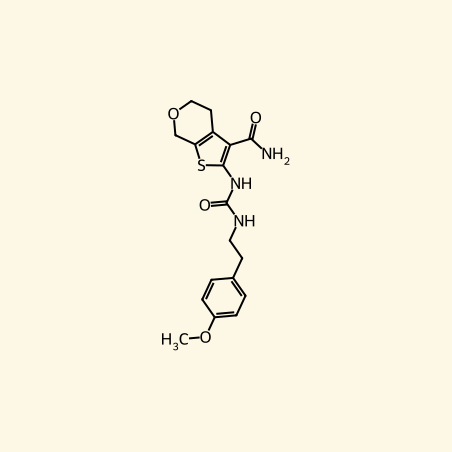 COc1ccc(CCNC(=O)Nc2sc3c(c2C(N)=O)CCOC3)cc1